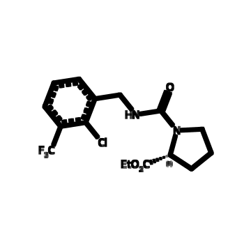 CCOC(=O)[C@H]1CCCN1C(=O)NCc1cccc(C(F)(F)F)c1Cl